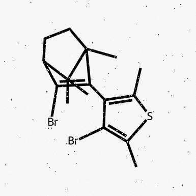 Cc1sc(C)c(C2=C(Br)C3CCC2(C)C3(C)C)c1Br